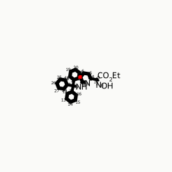 CCOC(=O)C(=NO)c1cccc(NC(c2ccccc2)(c2ccccc2)c2ccccc2)n1